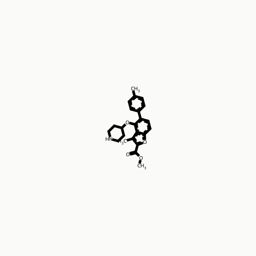 COC(=O)c1oc2ccc(-c3ccc(C)cc3)c(OC3CCNCC3)c2c1C